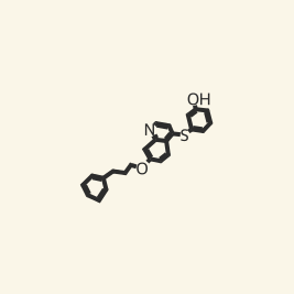 Oc1cccc(Sc2ccnc3cc(OCCCc4ccccc4)ccc23)c1